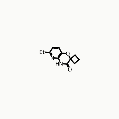 CCc1ccc2c(n1)NC(=O)C1(CCC1)O2